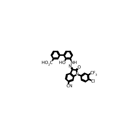 N#Cc1ccc2c(c1)N(c1ccc(Cl)c(C(F)(F)F)c1)C(=O)/C2=N\Nc1cccc(-c2cccc(C(=O)O)c2)c1O